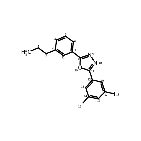 CCCc1cccc(-c2nnc(-c3cc(I)cc(I)c3)o2)c1